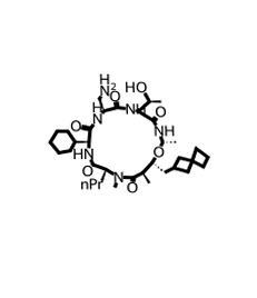 CCC[C@H]1C(=O)N[C@@H](C2CCCCC2)C(=O)N[C@@H](CN)C(=O)N[C@@H]([C@H](C)O)C(=O)N[C@H](C)O[C@H](CC2CC3(CCC3)C2)[C@@H](C)C(=O)N1C